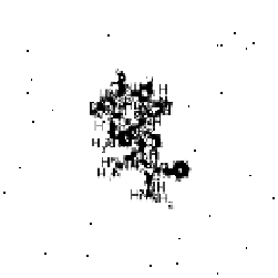 CC[C@H](C)[C@H](NC(=O)C[C@H](O)[C@H](CC(C)C)NC(=O)[C@H](Cc1c[nH]cn1)NC(=O)[C@H](Cc1ccccc1)NC(=O)[C@@H]1CCCN1C(=O)[C@H](CCCNC(=N)N)NC(=O)[C@H](CCCNC(=N)N)NC(=O)OCc1ccccc1)C(=O)N[C@@H](Cc1c[nH]cn1)C(=O)N[C@@H](CCCCN)C(=O)OC